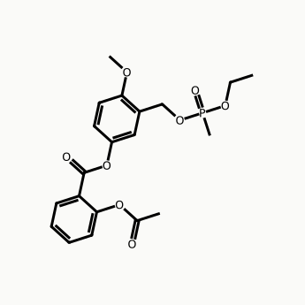 CCOP(C)(=O)OCc1cc(OC(=O)c2ccccc2OC(C)=O)ccc1OC